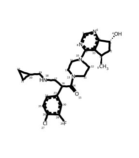 C[C@@H]1C[C@@H](O)c2ncnc(N3CCN(C(=O)C(CNCC4CC4)c4ccc(Cl)c(F)c4)CC3)c21